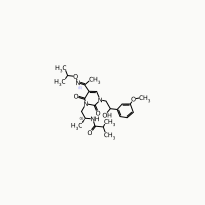 COc1cccc(C(O)Cn2cc(/C(C)=N/OC(C)C)c(=O)n(C[C@H](C)NC(=O)C(C)C)c2=O)c1